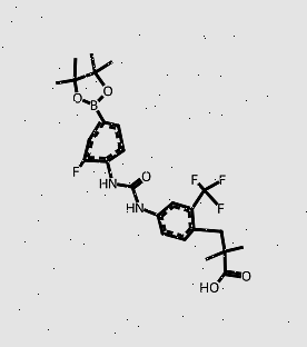 CC(C)(Cc1ccc(NC(=O)Nc2ccc(B3OC(C)(C)C(C)(C)O3)cc2F)cc1C(F)(F)F)C(=O)O